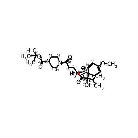 COC1=CCC(C(O)(C(N)=O)C(C)C)(S(=O)(=O)NCCC(=O)N2CCN(C(=O)OC(C)(C)C)CC2)C=C1